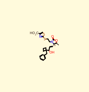 C[C@@H]1OC(=O)N(CCSc2nc(C(=O)O)cs2)[C@H]1C=CC(O)C1(Cc2ccccc2)CCC1